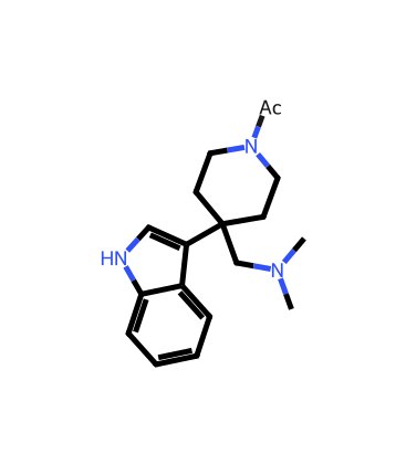 CC(=O)N1CCC(CN(C)C)(c2c[nH]c3ccccc23)CC1